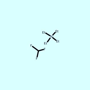 CC[N+](CC)(CC)CC.FC(F)F